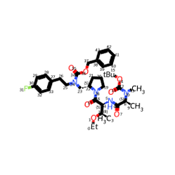 CCO[C@H](C)[C@H](NC(=O)[C@H](C)N(C)C(=O)OC(C)(C)C)C(=O)N1CCC[C@H]1CN(CCc1ccc(F)cc1)C(=O)OCc1ccccc1